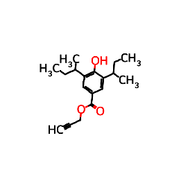 C#CCOC(=O)c1cc(C(C)CC)c(O)c(C(C)CC)c1